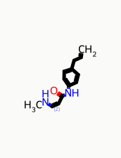 C=CCc1ccc(NC(=O)/C=C\NC)cc1